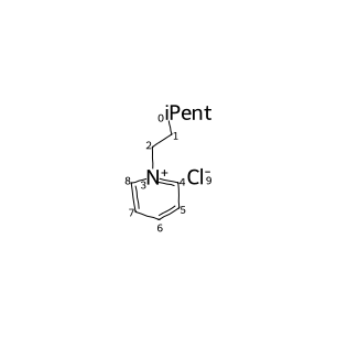 CCCC(C)CC[n+]1ccccc1.[Cl-]